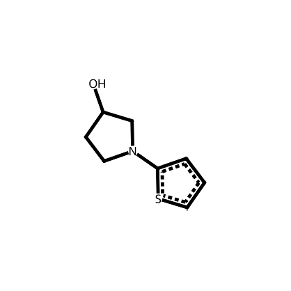 OC1CCN(c2cc[c]s2)C1